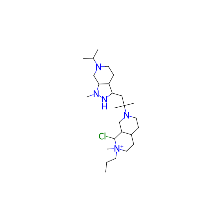 CCC[N+]1(C)CCC2CCN(C(C)(C)CC3NN(C)C4CN(C(C)C)CCC34)CC2C1Cl